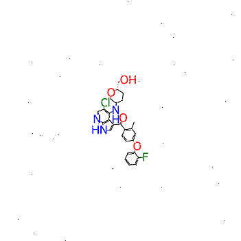 Cc1cc(Oc2ccccc2F)ccc1C(=O)c1c[nH]c2ncc(Cl)c(N[C@@H]3CC[C@@H](CO)OC3)c12